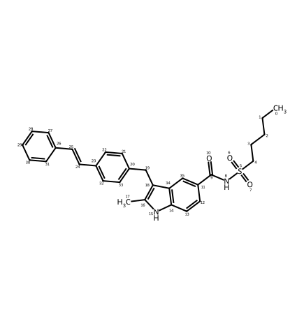 CCCCCS(=O)(=O)NC(=O)c1ccc2[nH]c(C)c(Cc3ccc(C=Cc4ccccc4)cc3)c2c1